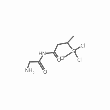 CC(CC(=O)NC(=O)CN)[Si](Cl)(Cl)Cl